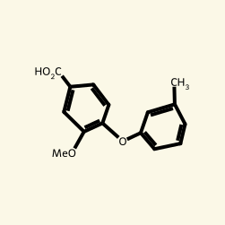 COc1cc(C(=O)O)ccc1Oc1cccc(C)c1